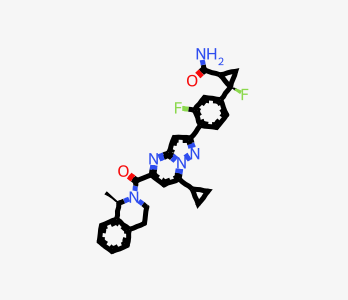 C[C@@H]1c2ccccc2CCN1C(=O)c1cc(C2CC2)n2nc(-c3ccc([C@@]4(F)CC4C(N)=O)cc3F)cc2n1